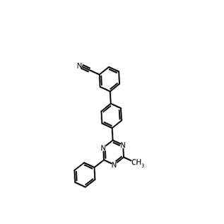 Cc1nc(-c2ccccc2)nc(-c2ccc(-c3cccc(C#N)c3)cc2)n1